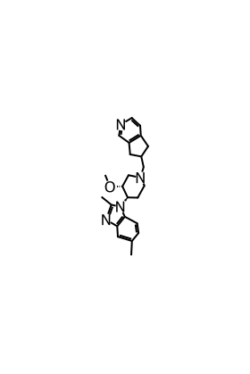 CO[C@@H]1CN(CC2Cc3ccncc3C2)CC[C@H]1n1c(C)nc2cc(C)ccc21